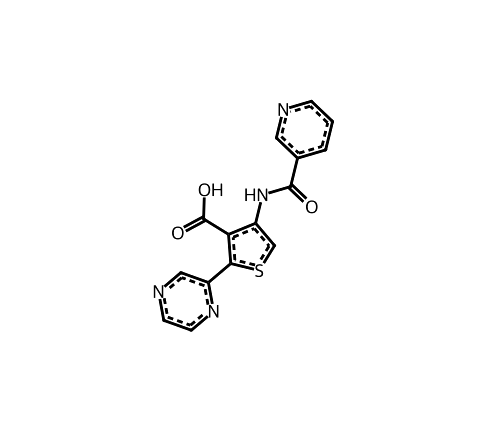 O=C(Nc1csc(-c2cnccn2)c1C(=O)O)c1cccnc1